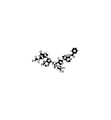 CC(C)C(=O)Nc1nc2c(ncn2[C@@H]2O[C@H](COP(=S)(OCCC#N)O[C@H]3[C@H](F)[C@H](n4cnc5c(NC(=O)c6ccccc6)ncnc54)O[C@@H]3CO)[C@@H](F)[C@H]2O[PH](=O)O)c(=O)[nH]1